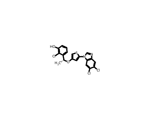 C[C@@H](Oc1csc(-n2cnc3cc(Cl)c(Cl)cc32)c1)c1cccc(O)c1Cl